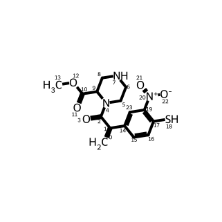 C=C(C(=O)N1CCNCC1C(=O)OC)c1ccc(S)c([N+](=O)[O-])c1